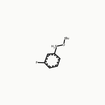 CC(C)(C)O[SiH2]c1cccc(F)c1